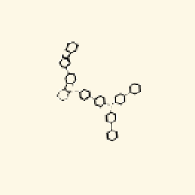 c1ccc(-c2ccc(N(c3ccc(-c4ccccc4)cc3)c3ccc(-c4ccc(-n5c6c(c7cc(-c8ccc9oc%10ccccc%10c9c8)ccc75)CCCC6)cc4)cc3)cc2)cc1